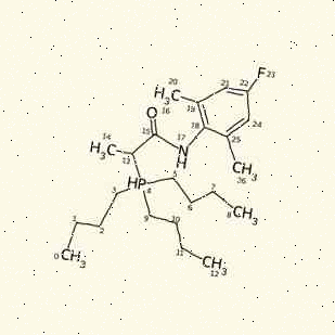 CCCC[PH](CCCC)(CCCC)C(C)C(=O)Nc1c(C)cc(F)cc1C